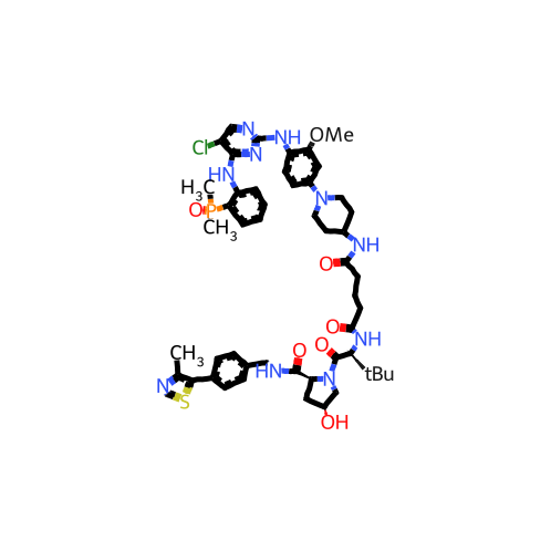 COc1cc(N2CCC(NC(=O)CCCC(=O)N[C@H](C(=O)N3C[C@H](O)C[C@H]3C(=O)NCc3ccc(-c4scnc4C)cc3)C(C)(C)C)CC2)ccc1Nc1ncc(Cl)c(Nc2ccccc2P(C)(C)=O)n1